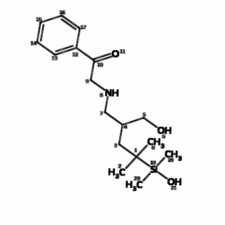 CC(C)(CC(CO)CNCC(=O)c1ccccc1)[Si](C)(C)O